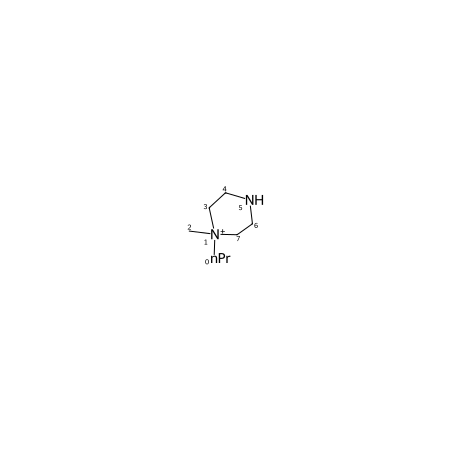 CCC[N+]1(C)CCNCC1